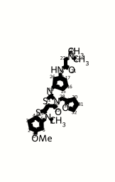 COc1ccc2c(c1)N(C)C(=C1SC(=Nc3cccc(NC(=O)CN(C)C)c3)N(Cc3ccco3)C1=O)S2